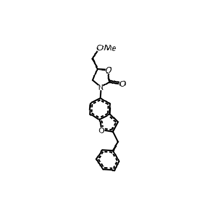 COCC1CN(c2ccc3oc(Cc4ccccc4)cc3c2)C(=O)O1